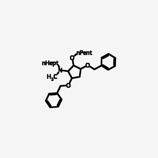 CCCCCCCN(C)C1C(OCc2ccccc2)CC(OCc2ccccc2)C1OCCCCC